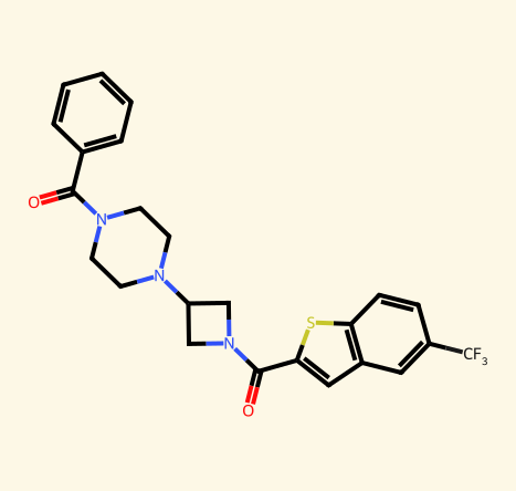 O=C(c1ccccc1)N1CCN(C2CN(C(=O)c3cc4cc(C(F)(F)F)ccc4s3)C2)CC1